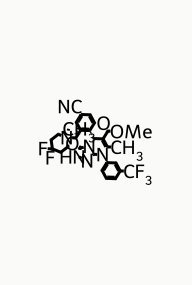 COC(=O)C1=C(C)N(c2cccc(C(F)(F)F)c2)c2n[nH]c(=O)n2[C@@H]1c1ccc(C#N)cc1C[N+]1(C)CCC(F)(F)CC1